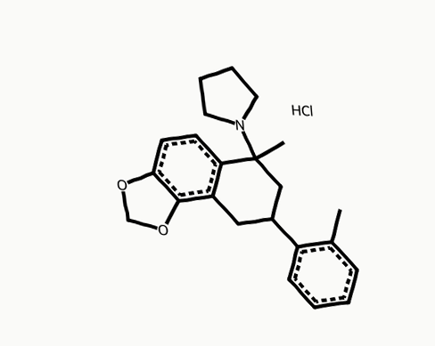 Cc1ccccc1C1Cc2c(ccc3c2OCO3)C(C)(N2CCCC2)C1.Cl